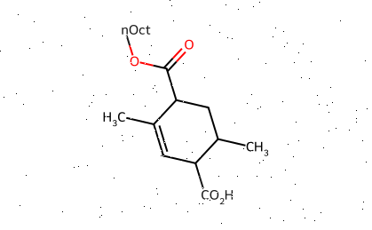 CCCCCCCCOC(=O)C1CC(C)C(C(=O)O)C=C1C